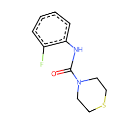 O=C(Nc1ccccc1F)N1CCSCC1